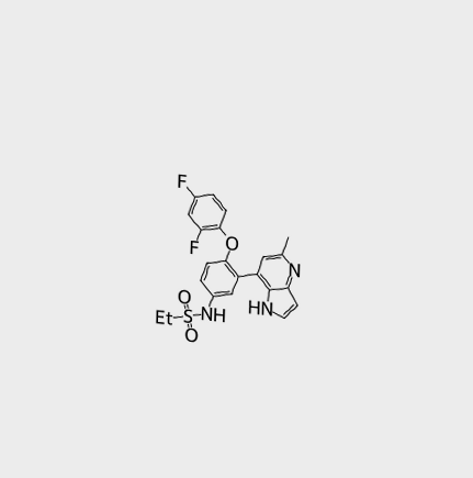 CCS(=O)(=O)Nc1ccc(Oc2ccc(F)cc2F)c(-c2cc(C)nc3cc[nH]c23)c1